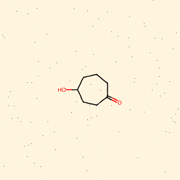 O=C1CCCC(O)CC1